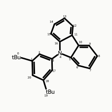 CC(C)(C)c1cc(-n2c3ccccc3c3ccccc32)cc(C(C)(C)C)c1